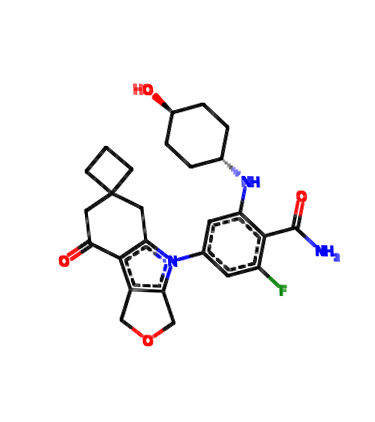 NC(=O)c1c(F)cc(-n2c3c(c4c2CC2(CCC2)CC4=O)COC3)cc1N[C@H]1CC[C@H](O)CC1